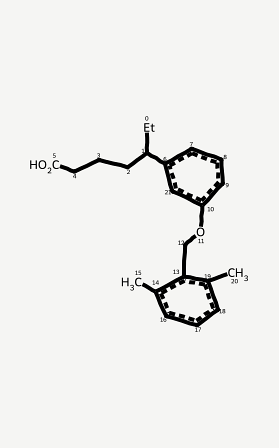 CCC(CCCC(=O)O)c1cccc(OCc2c(C)cccc2C)c1